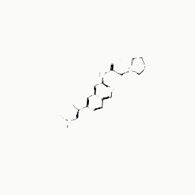 C=C(CN1CCCC1)Nc1cc2cc(/C(N)=C/N(C)N)ccc2cn1